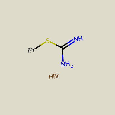 Br.CC(C)SC(=N)N